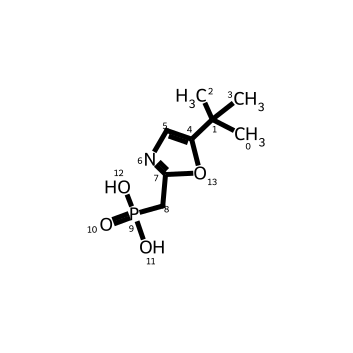 CC(C)(C)c1cnc(CP(=O)(O)O)o1